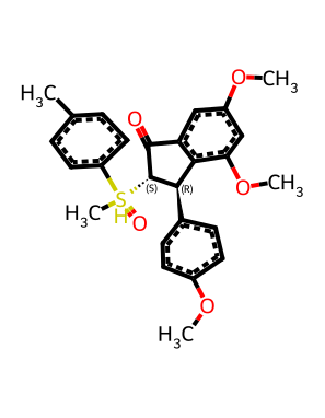 COc1ccc([C@@H]2c3c(OC)cc(OC)cc3C(=O)[C@H]2[SH](C)(=O)c2ccc(C)cc2)cc1